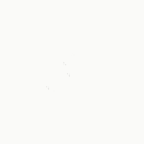 O=[N+]([O-])c1cccc(-c2nc(CCCc3ccccc3)cc(OCCc3ccccc3)n2)c1